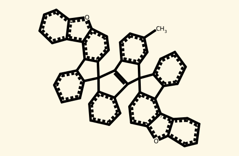 Cc1ccc2c(c1)C1(C3=C2C2(c4ccccc43)c3ccccc3-c3c2ccc2oc4ccccc4c32)c2ccccc2-c2c1ccc1oc3ccccc3c21